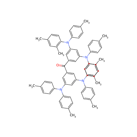 Cc1ccc(N(c2ccc(C)cc2)c2cc(C(=O)c3cc(N(c4ccc(C)cc4)c4ccc(C)cc4)cc(N(c4ccc(C)cc4)c4ccc(C)cc4C)c3)cc(N(c3ccc(C)cc3)c3ccc(C)cc3)c2)cc1